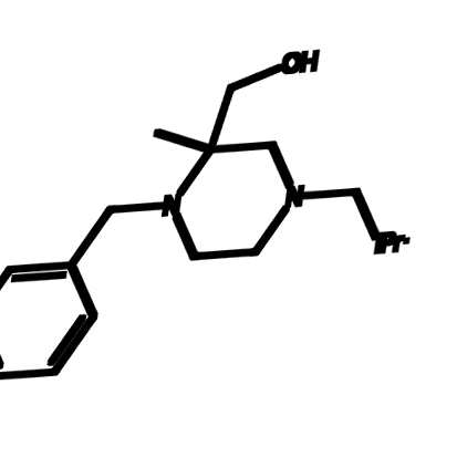 C[C](C)CN1CCN(Cc2ccccc2)C(C)(CO)C1